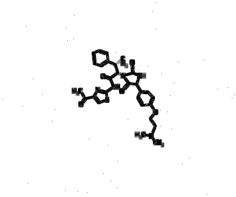 CC(=O)c1csc(NC(=O)[C@H]([C@@H](C)c2ccccc2)N2C(=O)NC(c3ccc(OCCN(C)C)cc3)C2=O)n1